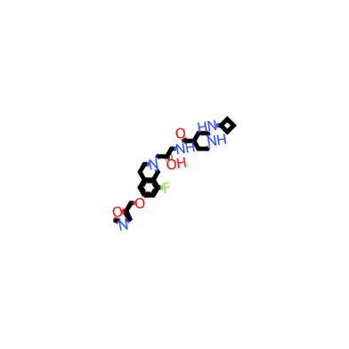 O=C(NC[C@H](O)CN1CCc2cc(OCc3cnco3)cc(F)c2C1)C1CCNC(NC2CCC2)C1